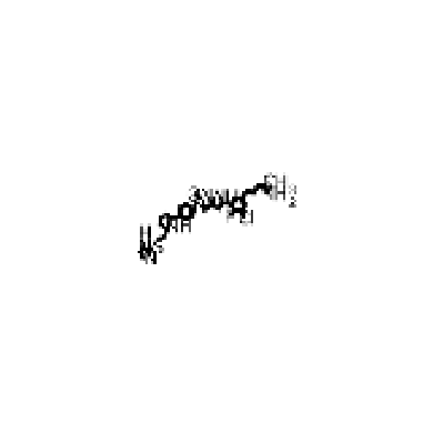 C[C@H](N)CCCc1cc(Cl)c(F)c(-c2cc3cn(-c4ccc(C5CCCC(CCSC6=NCCN6)N5)cc4)c(=O)nc3[nH]2)c1